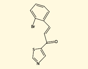 O=C(C=Cc1ccccc1Br)c1cncs1